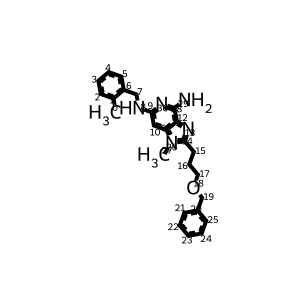 Cc1ccccc1CNc1cc2c(nc(CCCOCc3ccccc3)n2C)c(N)n1